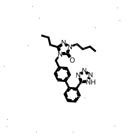 CCCCn1nc(CCC)n(Cc2ccc(-c3ccccc3-c3nnn[nH]3)cc2)c1=O